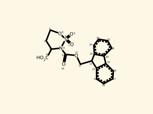 O=C(O)C1CCOS(=O)(=O)N1C(=O)OCC1c2ccccc2-c2ccccc21